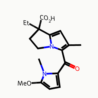 CCC1(C(=O)O)CCn2c1cc(C)c2C(=O)c1ccc(OC)n1C